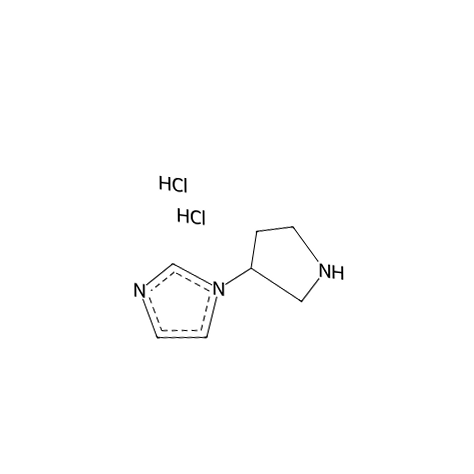 Cl.Cl.c1cn(C2CCNC2)cn1